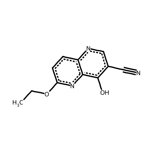 CCOc1ccc2ncc(C#N)c(O)c2n1